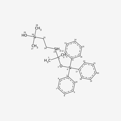 CC(C)(O[Si](c1ccccc1)(c1ccccc1)c1ccccc1)[SiH2]CC[Si](C)(C)O